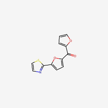 O=C(c1ccco1)c1ccc(-c2nccs2)o1